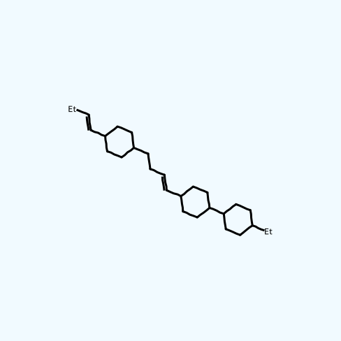 CCC=CC1CCC(CCC=CC2CCC(C3CCC(CC)CC3)CC2)CC1